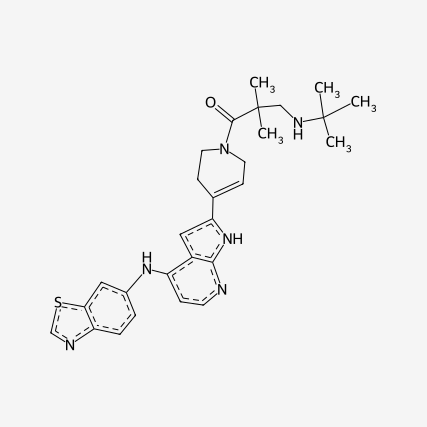 CC(C)(C)NCC(C)(C)C(=O)N1CC=C(c2cc3c(Nc4ccc5ncsc5c4)ccnc3[nH]2)CC1